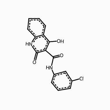 O=C(Nc1cccc(Cl)c1)c1c(O)c2ccccc2[nH]c1=O